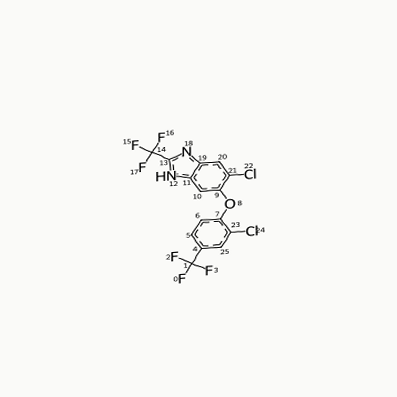 FC(F)(F)c1ccc(Oc2cc3[nH]c(C(F)(F)F)nc3cc2Cl)c(Cl)c1